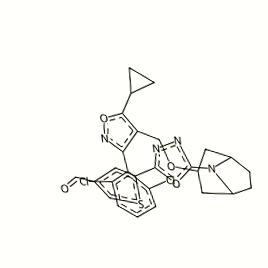 O=Cc1csc(-c2nnc(N3C4CCC3CC(OCc3c(-c5c(Cl)cccc5Cl)noc3C3CC3)C4)o2)c1